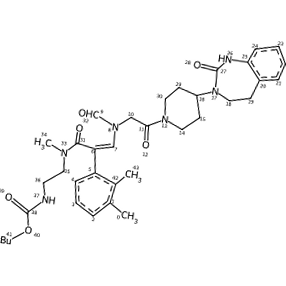 Cc1cccc(/C(=C/N(C=O)CC(=O)N2CCC(N3CCc4ccccc4NC3=O)CC2)C(=O)N(C)CCNC(=O)OC(C)(C)C)c1C